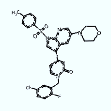 Cc1ccc(S(=O)(=O)n2cc(-c3ccn(Cc4cc(Cl)ccc4F)c(=O)c3)c3cc(N4CCOCC4)cnc32)cc1